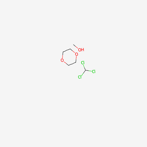 C1COCCO1.CO.ClC(Cl)Cl